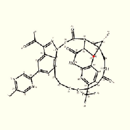 CC(=O)c1nn2c3c(cc(-c4cnc(C)cn4)cc13)CCCCCCC(=O)NC[C@@]13C[C@@H](C(=O)Nc4nc(C(F)(F)F)ccc4C)N(C(=O)C2)C1[C@@H]3C